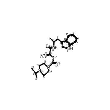 CC(Cc1c[nH]c2ccccc12)NC(=O)C(=N)SC(=N)N1CCN(C(C)C)CC1